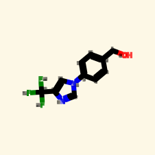 OCc1ccc(-n2cnc(C(F)(F)F)c2)cc1